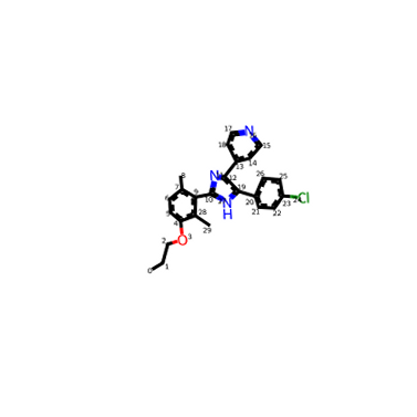 CCCOc1ccc(C)c(-c2nc(-c3ccncc3)c(-c3ccc(Cl)cc3)[nH]2)c1C